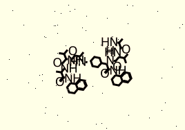 CNC(C)C(=O)NC(C(=O)NC(C(=O)NC1CCCc2ccccc21)C1CCCCC1)C(C)C.CNC(C)C(=O)NC(C(=O)NC(C)C(=O)NC1CCCc2ccccc21)C(C)C